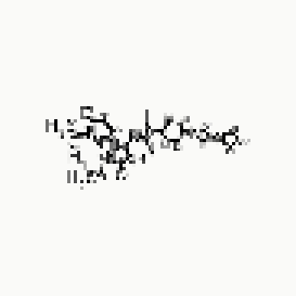 C=CCn1c(=O)c2cnc(Nc3ccc(N4CC(N5CCC5)C4)cc3)nc2n1-c1ccc(=O)n(C(C)C)n1